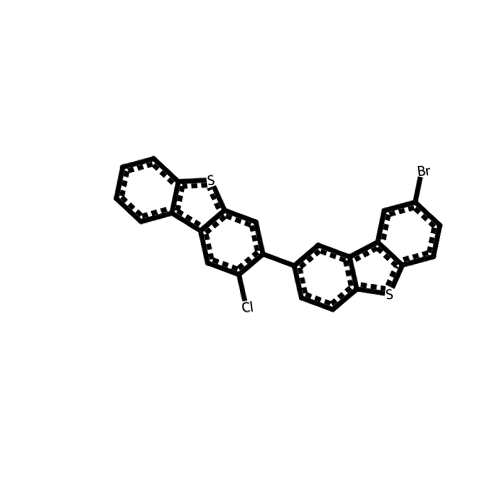 Clc1cc2c(cc1-c1ccc3sc4ccc(Br)cc4c3c1)sc1ccccc12